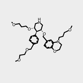 COCCCO[C@@H]1CNC[C@H](OCc2ccc3c(c2)N(CCCOC)CCO3)[C@H]1c1ccc(COCCOC)cc1